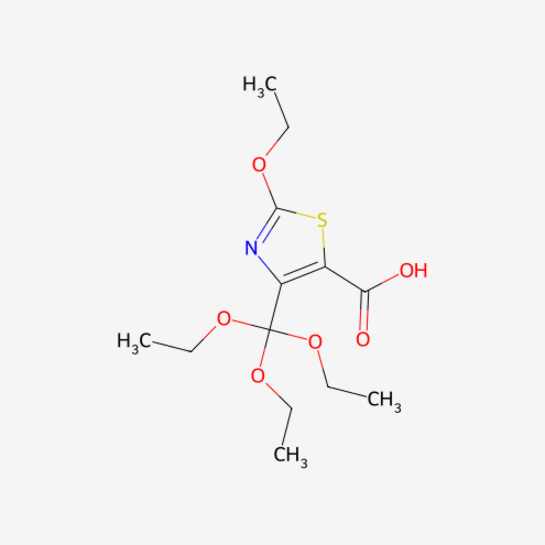 CCOc1nc(C(OCC)(OCC)OCC)c(C(=O)O)s1